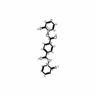 O=C(On1ccccc1=S)c1ccc(C(=O)On2ccccc2=S)cc1